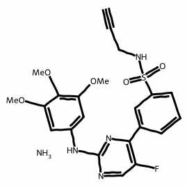 C#CCNS(=O)(=O)c1cccc(-c2nc(Nc3cc(OC)c(OC)c(OC)c3)ncc2F)c1.N